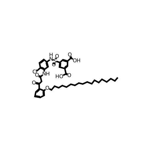 CCCCCCCCCCCCCCCCCCOc1ccccc1C(=O)CC(=O)Nc1cc(NS(=O)(=O)c2cc(C(=O)O)cc(C(=O)O)c2)ccc1Cl